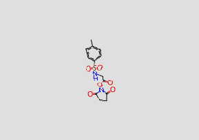 Cc1ccc(S(=O)(=O)NCC(=O)ON2C(=O)CCC2=O)cc1